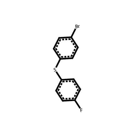 Fc1ccc(Sc2ccc(Br)cc2)cc1